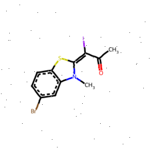 CC(=O)C(I)=C1Sc2ccc(Br)cc2N1C